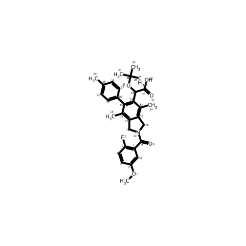 COc1ccc(F)c(C(=O)N2Cc3c(C)c(-c4ccc(C)cc4)c(C(OC(C)(C)C)C(=O)O)c(C)c3C2)c1